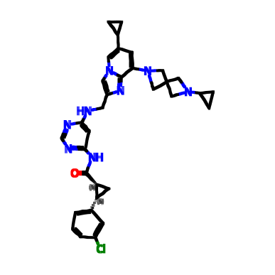 O=C(Nc1cc(NCc2cn3cc(C4CC4)cc(N4CC5(C4)CN(C4CC4)C5)c3n2)ncn1)[C@H]1C[C@@H]1c1cccc(Cl)c1